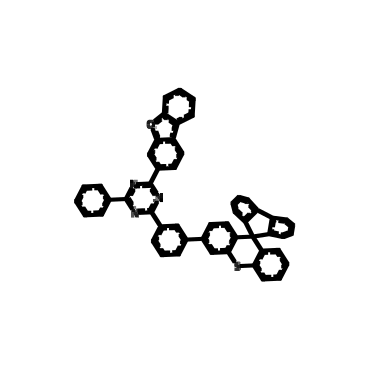 c1ccc(-c2nc(-c3cccc(-c4ccc5c(c4)Sc4ccccc4C54c5ccccc5-c5ccccc54)c3)nc(-c3ccc4c(c3)oc3ccccc34)n2)cc1